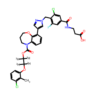 [2H]C([2H])(OC(=O)N1CCCOc2c(-c3cnn(Cc4c(F)cc(C(=O)NCCC(=O)O)cc4Cl)c3)cccc21)C([2H])([2H])Oc1cccc(Cl)c1C